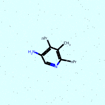 CCCc1n[c]c(N)c(CCC)c1C